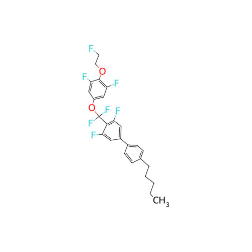 CCCCCc1ccc(-c2cc(F)c(C(F)(F)Oc3cc(F)c(OCCF)c(F)c3)c(F)c2)cc1